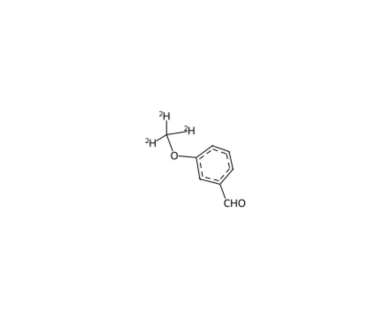 [2H]C([2H])([2H])Oc1cccc(C=O)c1